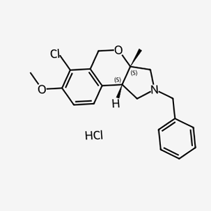 COc1ccc2c(c1Cl)CO[C@]1(C)CN(Cc3ccccc3)C[C@H]21.Cl